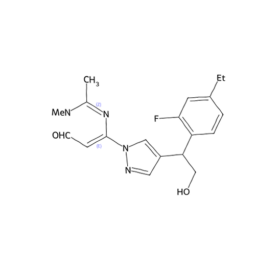 CCc1ccc(C(CO)c2cnn(C(=C/C=O)/N=C(/C)NC)c2)c(F)c1